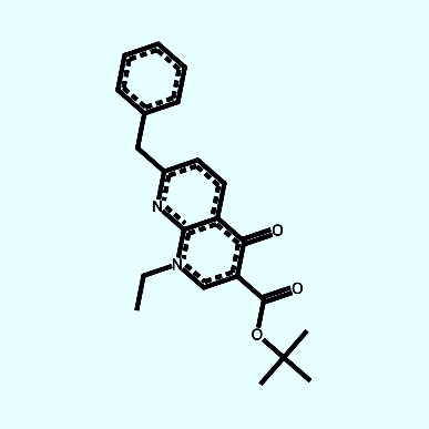 CCn1cc(C(=O)OC(C)(C)C)c(=O)c2ccc(Cc3ccccc3)nc21